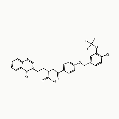 O=C(CC(CCn1nnc2ccccc2c1=O)C(=O)O)c1ccc(OCc2ccc(Cl)c(OC(F)(F)F)c2)cc1